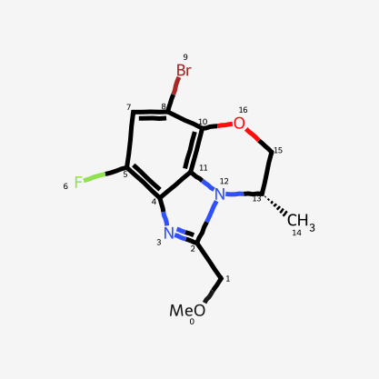 COCc1nc2c(F)cc(Br)c3c2n1[C@@H](C)CO3